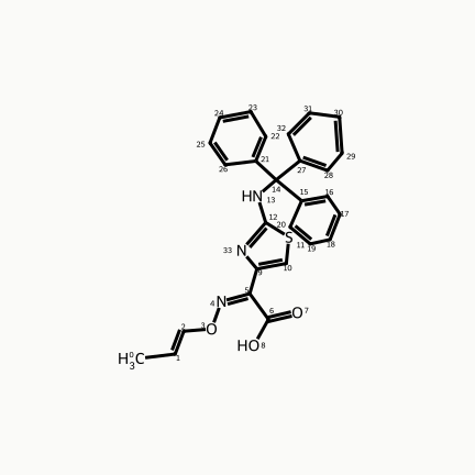 CC=CON=C(C(=O)O)c1csc(NC(c2ccccc2)(c2ccccc2)c2ccccc2)n1